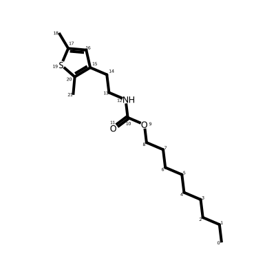 CCCCCCCCCOC(=O)NCCc1cc(C)sc1C